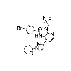 O=C(Nc1c(-c2ccn(C3CCCCO3)n2)ccnc1N1CCC(F)(F)C1)c1ccc(Br)cc1